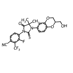 CC1(C)C(=O)N(c2ccc(C#N)c(C(F)(F)F)c2F)C(=S)N1c1ccc2c(c1)OCC(CO)O2